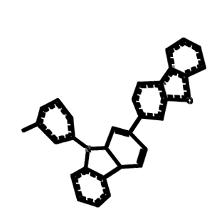 Cc1cccc(N2c3ccccc3C3C=CC(c4ccc5c(c4)oc4ccccc45)=CC32)c1